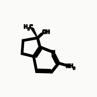 C[C@@]1(O)CCc2ccc(N)nc21